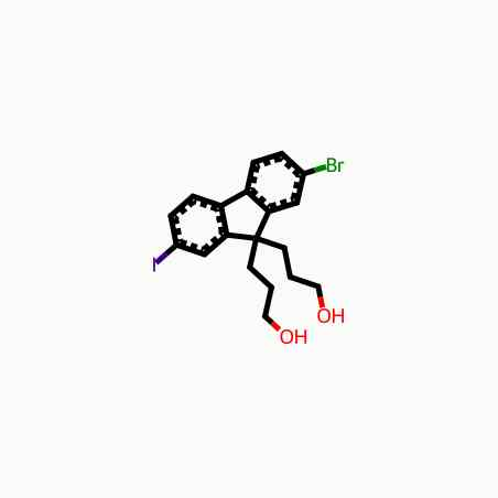 OCCCC1(CCCO)c2cc(Br)ccc2-c2ccc(I)cc21